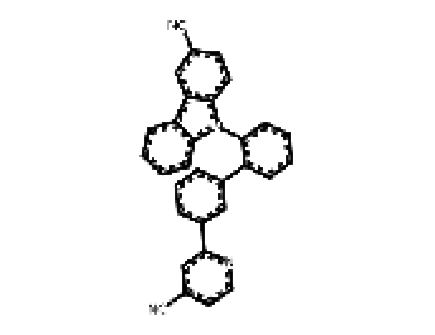 N#Cc1ccnc(-c2cccc(-c3ccccc3-n3c4ccccc4c4cc(C#N)ccc43)c2)c1